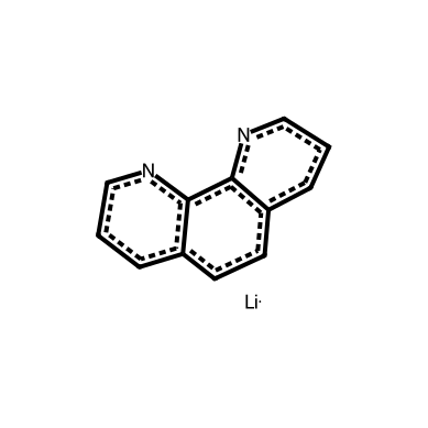 [Li].c1cnc2c(c1)ccc1cccnc12